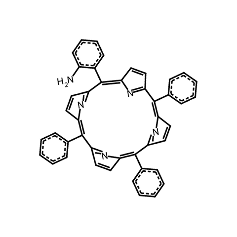 Nc1ccccc1C1=C2C=CC(=N2)C(c2ccccc2)=C2C=CC(=N2)C(c2ccccc2)=C2C=CC(=N2)C(c2ccccc2)=C2C=CC1=N2